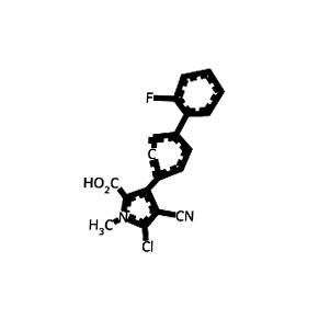 Cn1c(Cl)c(C#N)c(-c2ccc(-c3ccccc3F)cc2)c1C(=O)O